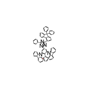 c1ccc(-c2nc(-c3cc(-n4c5ccccc5c5ccccc54)c(-c4ccccc4)c(-n4c5ccccc5c5ccccc54)c3)nc(-c3cccc4c3-c3ccccc3C4(c3ccccc3)c3ccccc3)n2)cc1